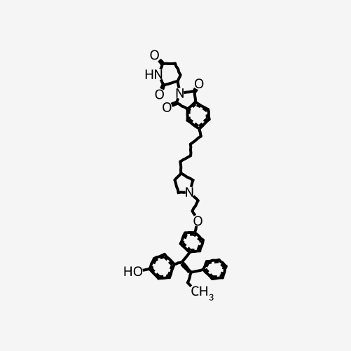 CCC(=C(c1ccc(O)cc1)c1ccc(OCCN2CCC(CCCCc3ccc4c(c3)C(=O)N(C3CCC(=O)NC3=O)C4=O)C2)cc1)c1ccccc1